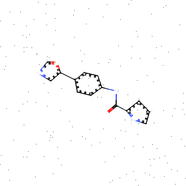 O=C(Nc1ccc(-c2cnco2)cc1)c1ccc[nH]1